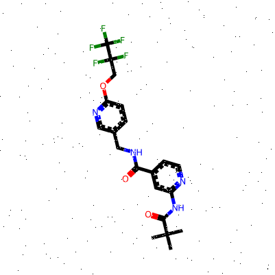 CC(C)(C)C(=O)Nc1cc(C(=O)NCc2ccc(OCC(F)(F)C(F)(F)F)nc2)ccn1